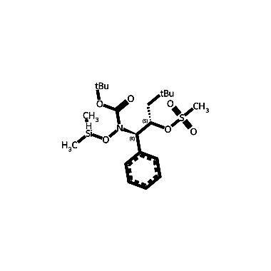 C[SiH](C)ON(C(=O)OC(C)(C)C)[C@H](c1ccccc1)[C@H](CC(C)(C)C)OS(C)(=O)=O